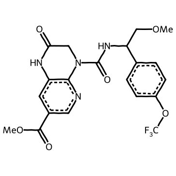 COCC(NC(=O)N1CC(=O)Nc2cc(C(=O)OC)cnc21)c1ccc(OC(F)(F)F)cc1